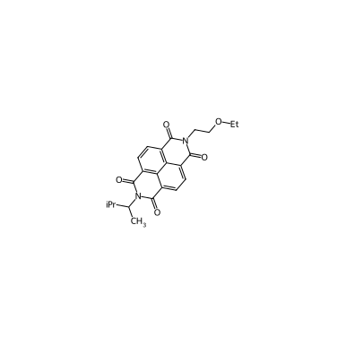 CCOCCN1C(=O)c2ccc3c4c(ccc(c24)C1=O)C(=O)N(C(C)C(C)C)C3=O